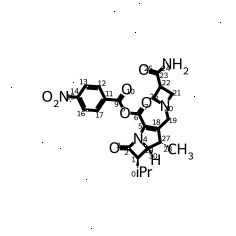 CC(C)[C@H]1C(=O)N2C(C(=O)OC(=O)c3ccc([N+](=O)[O-])cc3)=C(CN3CC(C(N)=O)C3)[C@H](C)[C@H]12